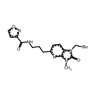 Cn1c(=O)n(CC(C)(C)C)c2ccc(CCCNC(=O)c3ccon3)nc21